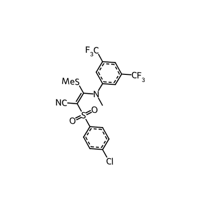 CSC(=C(C#N)S(=O)(=O)c1ccc(Cl)cc1)N(C)c1cc(C(F)(F)F)cc(C(F)(F)F)c1